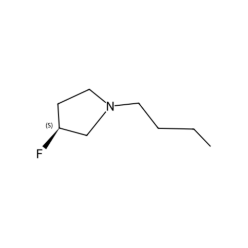 CCCCN1CC[C@H](F)C1